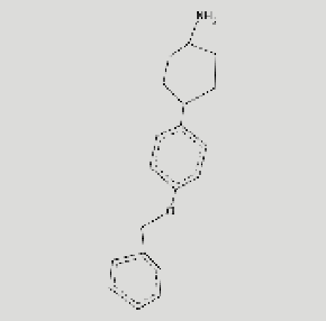 NC1CCC(c2ccc(OCc3ccccc3)cc2)CC1